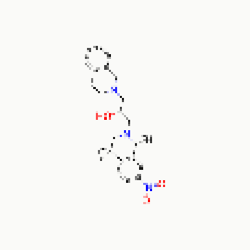 [2H][C@@H]1c2cc([N+](=O)[O-])ccc2C2(CC2)CN1CC(O)CN1CCc2ccccc2C1